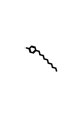 [CH2]c1ccc(CCCCCCCCCC)cc1